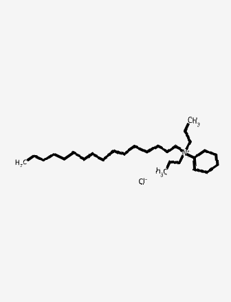 CCCCCCCCCCCCCCCC[N+](CCC)(CCC)C1CCCCC1.[Cl-]